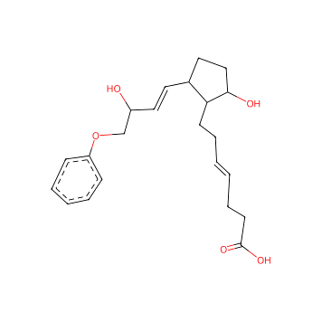 O=C(O)CCC=CCCC1C(O)CCC1C=CC(O)COc1ccccc1